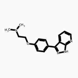 CN(C)CCOc1ccc(-c2n[nH]c3ncccc23)cc1